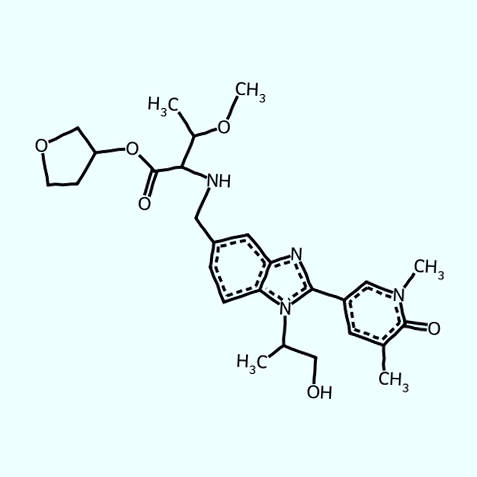 COC(C)C(NCc1ccc2c(c1)nc(-c1cc(C)c(=O)n(C)c1)n2C(C)CO)C(=O)OC1CCOC1